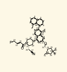 Cc1cccc2cccc(-c3ncc4c(N5CCN(C(=O)/C=C/CF)[C@@H](CC#N)C5)nc(OC[C@@H]5CC(F)(F)CN5C)nc4c3F)c12